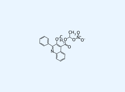 COc1c(-c2ccccc2)nc2ccccc2c1C(=O)OC(C)O[N+](=O)[O-]